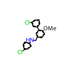 COc1ccc(CNc2ccc(Cl)cc2)cc1-c1cccc(Cl)c1